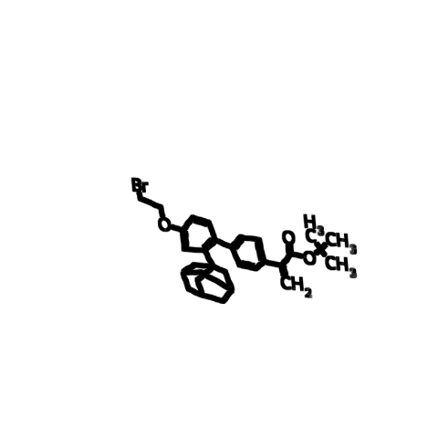 C=C(C(=O)OC(C)(C)C)c1ccc(-c2ccc(OCCBr)cc2C23CC4CC(CC(C4)C2)C3)cc1